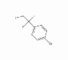 FC(F)(CI)c1ccc(Br)cn1